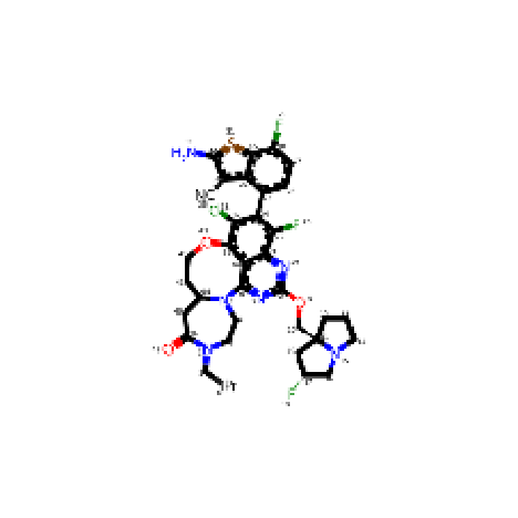 CC(C)CN1CCN2c3nc(OC[C@@]45CCCN4C[C@H](F)C5)nc4c(F)c(-c5ccc(F)c6sc(N)c(C#N)c56)c(Cl)c(c34)OCCC2CC1=O